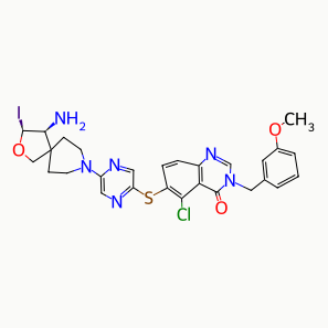 COc1cccc(Cn2cnc3ccc(Sc4cnc(N5CCC6(CC5)CO[C@@H](I)[C@H]6N)cn4)c(Cl)c3c2=O)c1